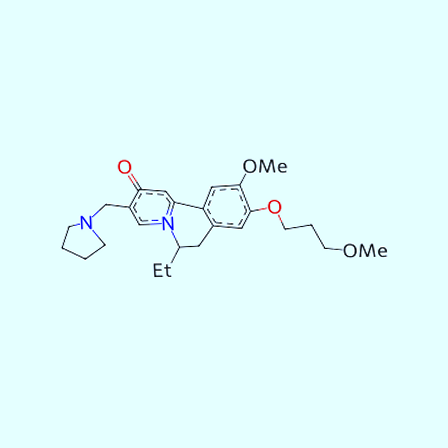 CCC1Cc2cc(OCCCOC)c(OC)cc2-c2cc(=O)c(CN3CCCC3)cn21